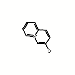 [O-]c1ccc2cccc[n+]2c1